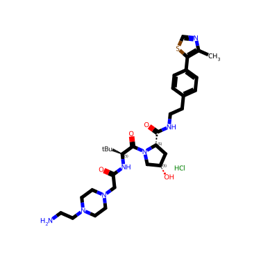 Cc1ncsc1-c1ccc(CCNC(=O)[C@@H]2C[C@H](O)CN2C(=O)[C@@H](NC(=O)CN2CCN(CCN)CC2)C(C)(C)C)cc1.Cl